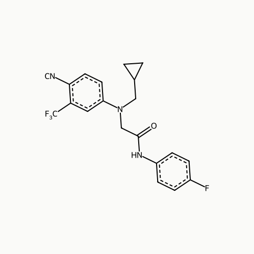 [C-]#[N+]c1ccc(N(CC(=O)Nc2ccc(F)cc2)CC2CC2)cc1C(F)(F)F